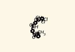 CNc1ccccc1C(=O)NCc1ccc(CNC(=O)c2ccc(N(Cc3cccc(Cl)c3Cl)S(C)(=O)=O)cc2)cc1